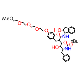 COCCOCCOCCOCCOc1ccc(CC(CC(O)C(Cc2ccccc2)NC(=O)OC(C)(C)C)C(=O)NC2c3ccccc3CC2O)cc1